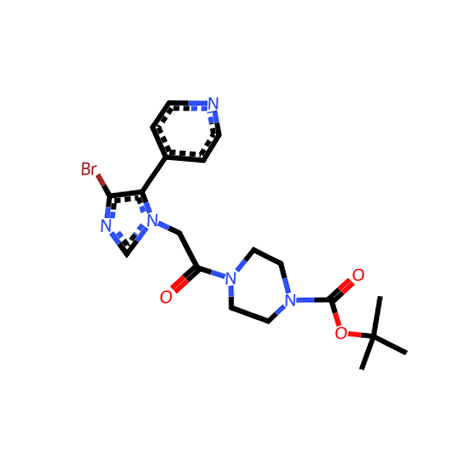 CC(C)(C)OC(=O)N1CCN(C(=O)Cn2cnc(Br)c2-c2ccncc2)CC1